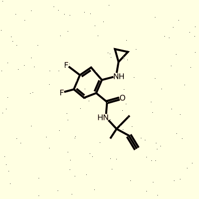 C#CC(C)(C)NC(=O)c1cc(F)c(F)cc1NC1CC1